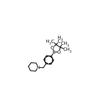 CC1(C)OB(c2ccc(CN3CCCCC3)cc2)OC1(C)C